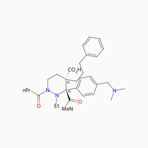 CCCC(=O)N1CC[C@](CCCc2ccccc2)(C(=O)O)[C@](C(=O)NC)(c2ccc(CN(C)C)cc2)N1CC